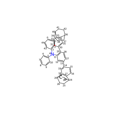 c1ccc(N(c2ccccc2)c2cc(-c3ccc4c(c3)C3CCCC4CC3)ccc2-c2ccc3c(c2)C2CCCC3CC2)cc1